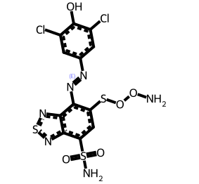 NOOSc1cc(S(N)(=O)=O)c2nsnc2c1/N=N/c1cc(Cl)c(O)c(Cl)c1